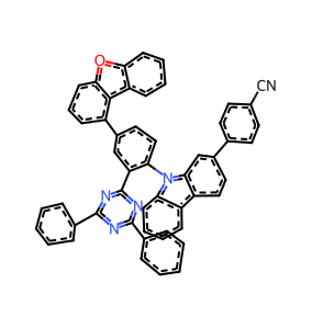 N#Cc1ccc(-c2ccc3c4ccccc4n(-c4ccc(-c5cccc6oc7ccccc7c56)cc4-c4nc(-c5ccccc5)nc(-c5ccccc5)n4)c3c2)cc1